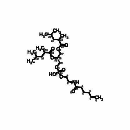 C=CCCCC(=O)NCCOP(=O)(O)OC[C@@H](COC(=O)C(C)CC(C)C)OC(=O)C(C)CC(C)C